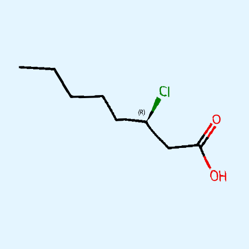 CCCCC[C@@H](Cl)CC(=O)O